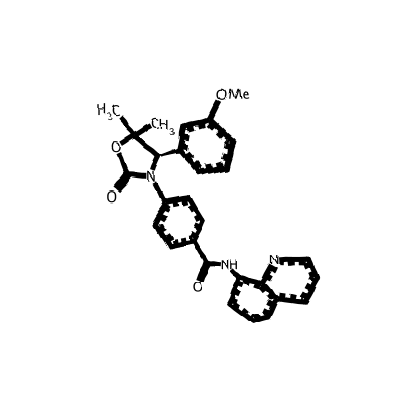 COc1cccc([C@H]2N(c3ccc(C(=O)Nc4cccc5cccnc45)cc3)C(=O)OC2(C)C)c1